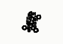 O=C(NC(=O)[C@H](Cc1c[nH]cn1)N[C@@H](CC1CCCCC1)[C@@H](O)c1ncc[nH]1)C(Cc1ccccc1)C[S+]([O-])C1CCCCC1